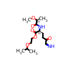 CO[C@@H](C)C(=O)N[C@@H](CCC(=O)C=N)C(=O)OCCOC(C)C